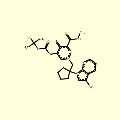 CNC(=O)c1nn(CC2(n3cc(C)c4cccnc43)CCCC2)cc(OC(=O)OC(C)(C)C)c1=O